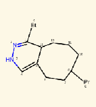 CCC1=NNC=C2CCC(C(C)C)CCCC21